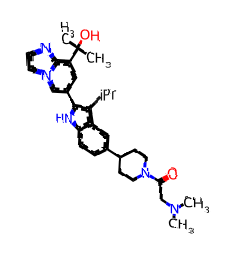 CC(C)c1c(-c2cc(C(C)(C)O)c3nccn3c2)[nH]c2ccc(C3CCN(C(=O)CN(C)C)CC3)cc12